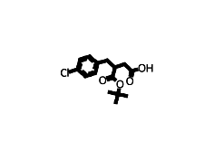 CC(C)(C)OC(=O)C(CC(=O)O)Cc1ccc(Cl)cc1